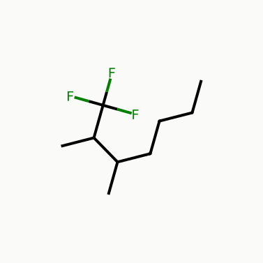 CCCCC(C)C(C)C(F)(F)F